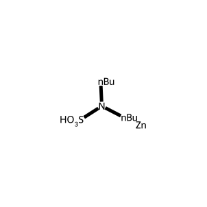 CCCCN(CCCC)S(=O)(=O)O.[Zn]